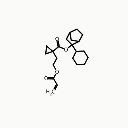 C=CC(=O)OCCC1(C(=O)OC2(C3CCCCC3)CC3CCC2C3)CC1